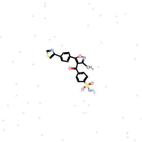 Cc1noc(-c2ccc(-c3cscn3)cc2)c1C(=O)c1ccc(S(N)(=O)=O)cc1